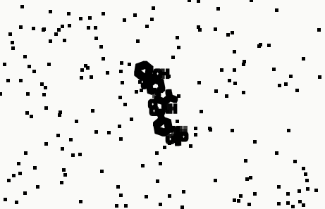 CC(C)[C@@H](NC(=O)c1cccc(NS(C)(=O)=O)c1)C(=O)N1CC[C@](O)(c2ccccc2)C(C)(C)C1